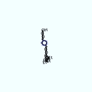 CCN(CC)C(=O)C(CCOCCOCCOCCSC1=C/C=C\C(C)=C/C(SCCOCCOCCO)=C\C=C/C=C\1)C(=O)N(CC)CC